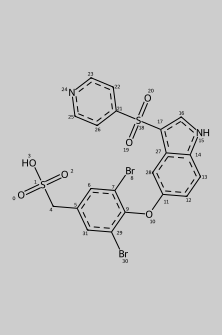 O=S(=O)(O)Cc1cc(Br)c(Oc2ccc3[nH]cc(S(=O)(=O)c4ccncc4)c3c2)c(Br)c1